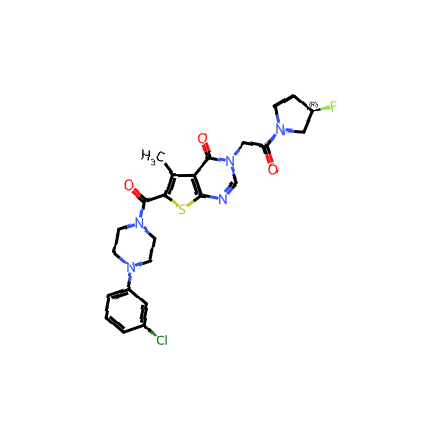 Cc1c(C(=O)N2CCN(c3cccc(Cl)c3)CC2)sc2ncn(CC(=O)N3CC[C@@H](F)C3)c(=O)c12